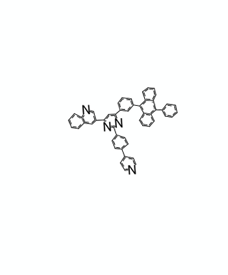 c1ccc(-c2c3ccccc3c(-c3cccc(-c4cc(-c5cnc6ccccc6c5)nc(-c5ccc(-c6ccncc6)cc5)n4)c3)c3ccccc23)cc1